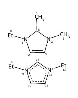 CCN1C=CN(C)C1C.CCn1cc[n+](CC)c1